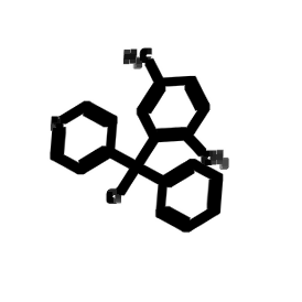 Cc1ccc(C)c(C(Cl)(c2ccccc2)c2ccncc2)c1